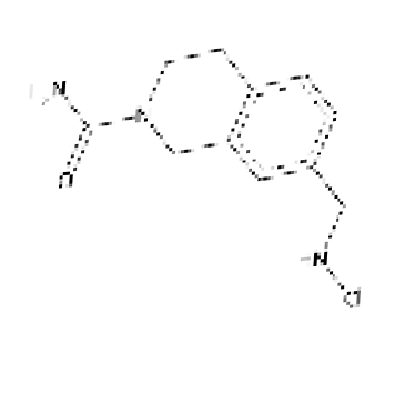 NC(=O)N1CCc2ccc(CNCl)cc2C1